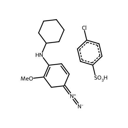 COC1=C(NC2CCCCC2)C=CC(=[N+]=[N-])C1.O=S(=O)(O)c1ccc(Cl)cc1